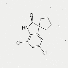 O=C1Nc2c(Cl)cc(Cl)cc2C12CCCC2